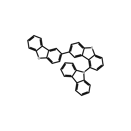 c1ccc2c(c1)oc1ccc(-c3ccc4sc5cccc(-n6c7ccccc7c7ccccc76)c5c4c3)cc12